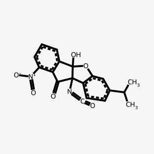 CC(C)c1ccc2c(c1)OC1(O)c3cccc([N+](=O)[O-])c3C(=O)C21N=C=O